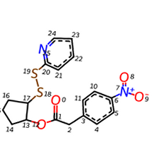 O=C(Cc1ccc([N+](=O)[O-])cc1)OC1CCCC1SSc1ccccn1